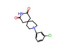 O=C1CC2(CCN(c3cccc(Cl)c3)CC2)CC(=O)N1